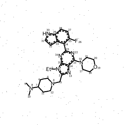 CCn1c(CN2CCC(N(C)C)CC2)nc2c(N3CCOCC3)nc(-c3c(F)ccc4[nH]ccc34)nc21